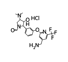 CN(C)C1CN(C=O)C(c2cccc(Oc3cc(CN)cc(C(F)(F)F)n3)c2)C1O.Cl